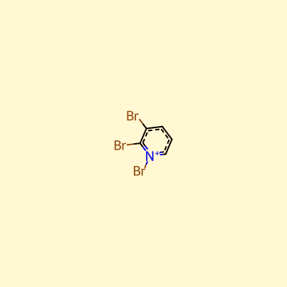 Brc1ccc[n+](Br)c1Br